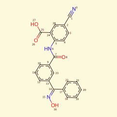 N#Cc1ccc(NC(=O)c2cccc(/C(=N/O)c3ccccc3)c2)c(C(=O)O)c1